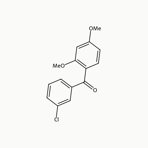 COc1ccc(C(=O)c2cccc(Cl)c2)c(OC)c1